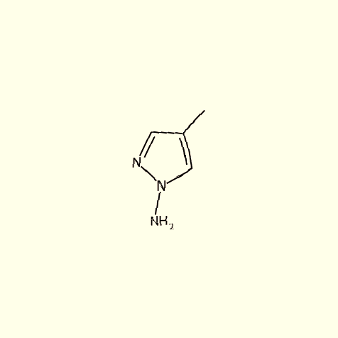 Cc1cnn(N)c1